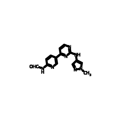 Cn1cc(Nc2nccc(-c3ccc(NC=O)nc3)n2)cn1